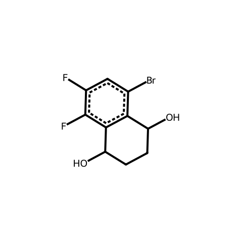 OC1CCC(O)c2c(F)c(F)cc(Br)c21